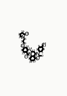 CC(=O)N(c1ccc(Cl)cc1)[C@@H]1C[C@H](C)N(C(=O)c2ccc(OCCCN3CCCC3=O)cc2)c2ccccc21